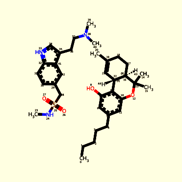 CCCCCc1cc(O)c2c(c1)OC(C)(C)[C@@H]1CCC(C)=C[C@@H]21.CNS(=O)(=O)Cc1ccc2[nH]cc(CCN(C)C)c2c1